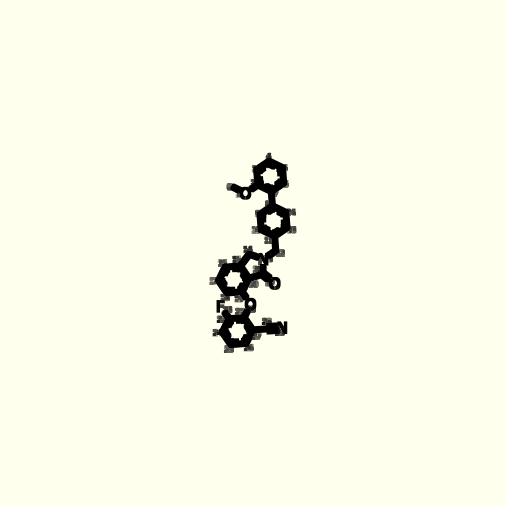 COc1ccccc1-c1ccc(CN2Cc3cccc(Oc4c(F)cccc4C#N)c3C2=O)cc1